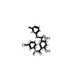 Cc1cccc(Cc2n[nH]c3cc(O)c(C(=O)N(C)c4cccc(Cl)c4)cc23)c1